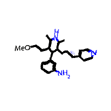 COCCC1=C(C)NC(C)=C(C/C=C/c2ccncc2)C1c1cccc(N)c1